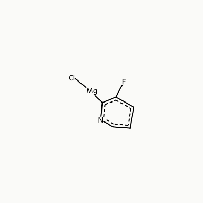 Fc1cccn[c]1[Mg][Cl]